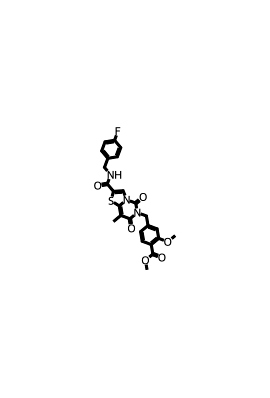 COC(=O)c1ccc(Cn2c(=O)c(C)c3sc(C(=O)NCc4ccc(F)cc4)cn3c2=O)cc1OC